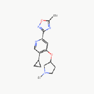 CCN1CCC(Oc2cc(-c3noc(C(C)(C)C)n3)ncc2C2CC2)C1